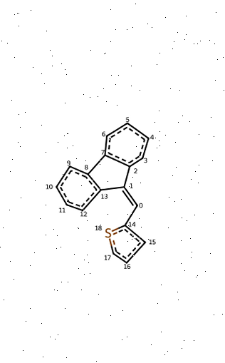 C(=C1c2ccccc2-c2ccccc21)c1cccs1